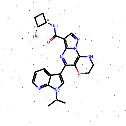 CC(C)n1cc(-c2nc3c(C(=O)N[C@H]4CC[C@H]4O)cnn3c3c2OCCN3)c2cccnc21